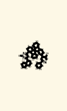 Cc1nc(-c2cccc3c2-c2ccccc2C32c3ccccc3-c3ccc(-c4cc(-c5ccccc5)ncc4C)cc32)cc(-c2cccc3ccccc23)n1